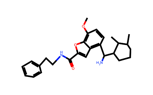 COc1ccc(C(N)C2CCCC(C)C2C)c2cc(C(=O)NCCc3ccccc3)oc12